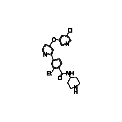 CCc1cc(-c2cc(Oc3cncc(Cl)c3)ccn2)ccc1C(=O)NC1CCNCC1